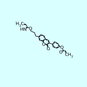 C=CC(=N)OCCCc1ccc2cc(-c3ccc(OC(=O)C=C)cc3)c(=O)oc2c1